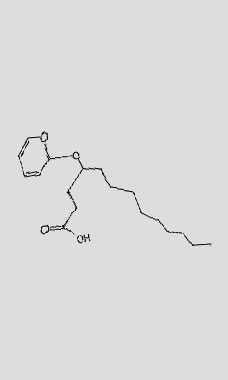 CCCCCCCCCC(CCC(=O)O)OC1C=CC=CO1